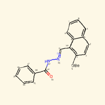 COc1ccc2ccccc2c1/C=N/NC(=O)c1ccccc1